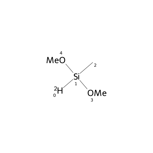 [2H][Si](C)(OC)OC